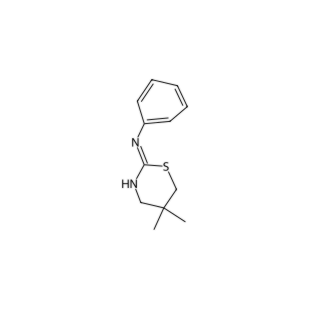 CC1(C)CN/C(=N/c2ccccc2)SC1